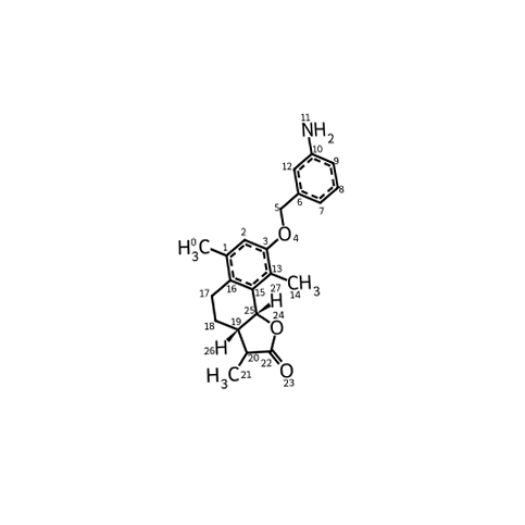 Cc1cc(OCc2cccc(N)c2)c(C)c2c1CC[C@H]1C(C)C(=O)O[C@@H]21